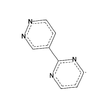 [c]1ccnc(-c2ccnnc2)n1